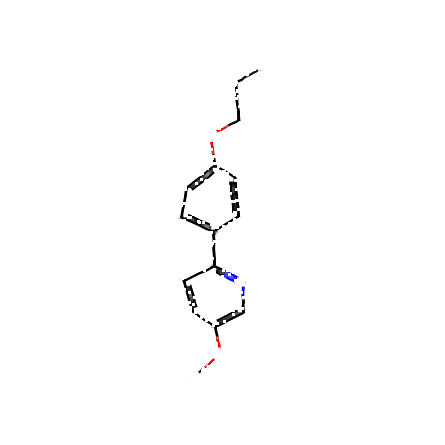 CCCCCCCCCCOc1ccc(-c2ccc(OCCC(C)CC)cc2)nc1